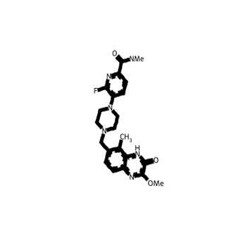 CNC(=O)c1ccc(N2CCN(Cc3ccc4nc(OC)c(=O)[nH]c4c3C)CC2)c(F)n1